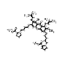 COC(=O)[C@H]1CCCN1CCCCOc1cc2oc3cc(OCCCCN4CCC[C@@H]4C(=O)OC)c(OC)c(CC=C(C)C)c3c(=O)c2c(O)c1CC=C(C)C